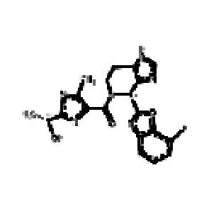 Cc1nc([C@@H](C)O)oc1C(=O)N1CCc2[nH]cnc2[C@H]1c1nc2cccc(F)c2o1